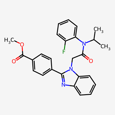 COC(=O)c1ccc(-c2nc3ccccc3n2CC(=O)N(c2ccccc2F)C(C)C)cc1